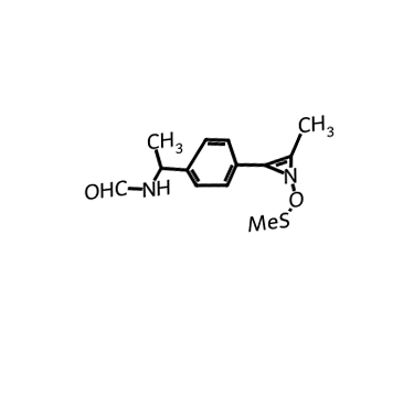 CSON1C(C)=C1c1ccc(C(C)NC=O)cc1